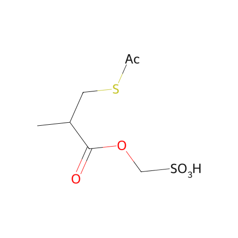 CC(=O)SCC(C)C(=O)OCS(=O)(=O)O